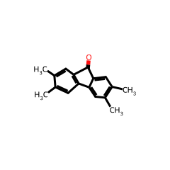 Cc1cc2c(cc1C)-c1cc(C)c(C)cc1C2=O